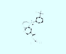 CC(C)(C)NC(=O)c1cnc2c(c1)N(S(=O)(=O)c1cccc(C(F)(F)F)c1)CCO2